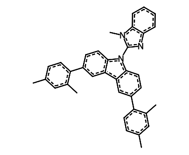 Cc1ccc(-c2ccc3c(c2)c2cc(-c4ccc(C)cc4C)ccc2n3-c2nc3ccccc3n2C)c(C)c1